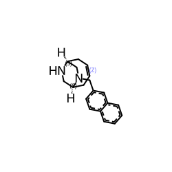 C1=C\C[C@H]2CN[C@@H](C/1)CN2Cc1ccc2ccccc2c1